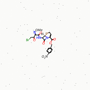 CO/N=C(/C(=O)CBr)C(=O)NC1C(=O)N2C(C(=O)OCc3ccc([N+](=O)[O-])cc3)=CCS[C@H]12